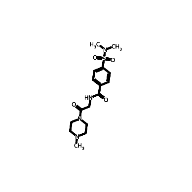 CN1CCN(C(=O)CNC(=O)c2ccc(S(=O)(=O)N(C)C)cc2)CC1